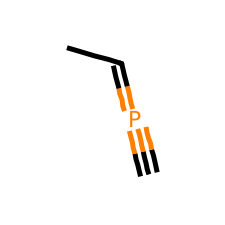 C#P=CC